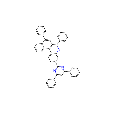 c1ccc(-c2cc(-c3ccccc3)nc(-c3ccc4c(c3)nc(-c3ccccc3)c3cc(-c5ccccc5)c5ccccc5c34)n2)cc1